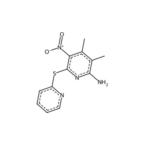 Cc1c(N)nc(Sc2ccccn2)c([N+](=O)[O-])c1C